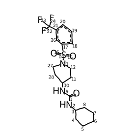 O=C(NC1CCCCC1)NC1CCN(S(=O)(=O)c2cccc(C(F)(F)F)c2)CC1